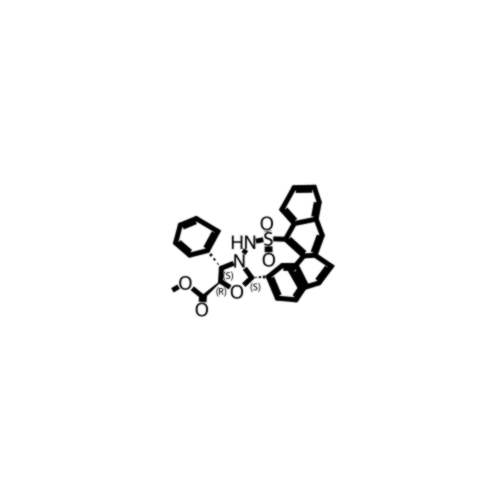 COC(=O)[C@@H]1O[C@@H](c2ccccc2)N(NS(=O)(=O)c2c3ccccc3cc3ccccc23)[C@H]1c1ccccc1